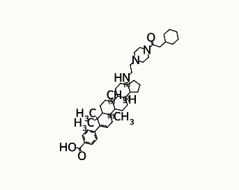 CC1(C)C(c2ccc(C(=O)O)cc2)=CC[C@@]2(C)C1CC[C@@]1(C)C3CC[C@@]4(NCCN5CCN(C(=O)CC6CCCCC6)CC5)CCCC4[C@H]3CCC12